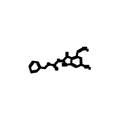 C=Cc1cc(C)cc2[nH]/c(=N\C(=O)OCc3ccccc3)[nH]c12